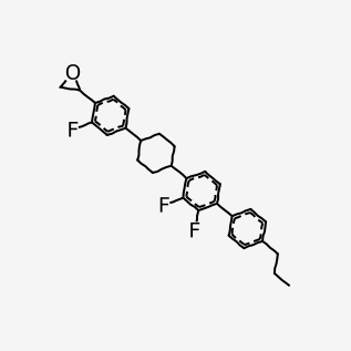 CCCc1ccc(-c2ccc(C3CCC(c4ccc(C5CO5)c(F)c4)CC3)c(F)c2F)cc1